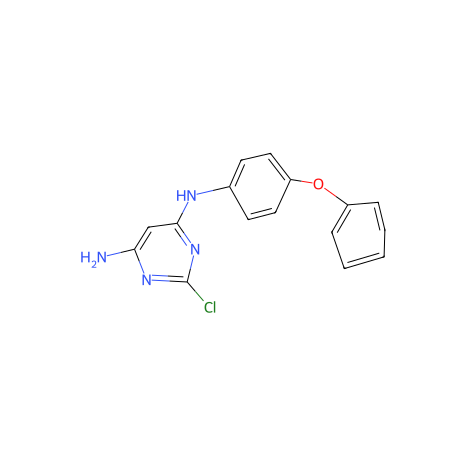 Nc1cc(Nc2ccc(Oc3ccccc3)cc2)nc(Cl)n1